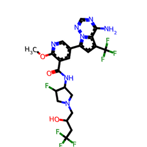 COc1ncc(-c2cc(C(F)(F)F)c3c(N)ncnn23)cc1C(=O)NC1CN(CC(O)CC(F)(F)F)CC1F